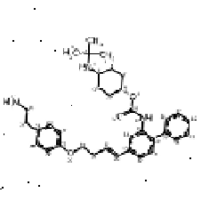 CC(C)(C)N[C@H]1CC[C@H](OC(=O)Nc2cc(C=CCCOc3ccc(CCN)cc3)ccc2-c2ccccc2)CC1